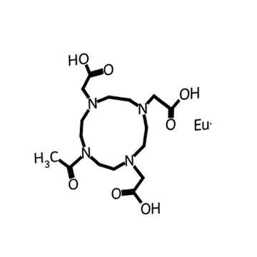 CC(=O)N1CCN(CC(=O)O)CCN(CC(=O)O)CCN(CC(=O)O)CC1.[Eu]